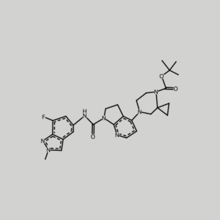 Cn1cc2cc(NC(=O)N3CCc4c(N5CCN(C(=O)OC(C)(C)C)C6(CC6)C5)ccnc43)cc(F)c2n1